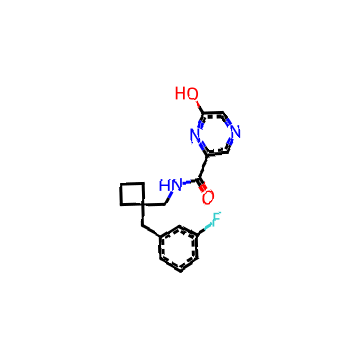 O=C(NCC1(Cc2cccc(F)c2)CCC1)c1cncc(O)n1